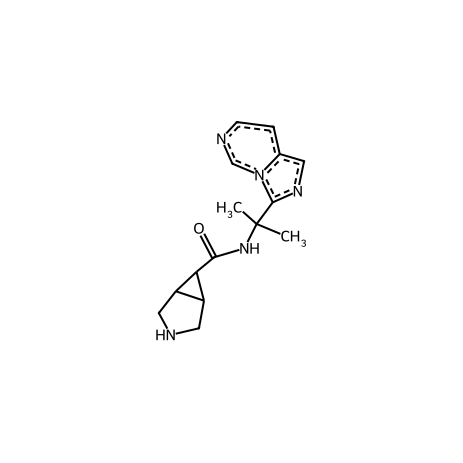 CC(C)(NC(=O)C1C2CNCC21)c1ncc2ccncn12